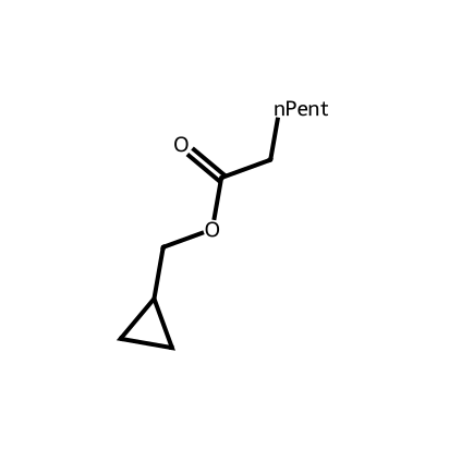 CCCCCCC(=O)OCC1CC1